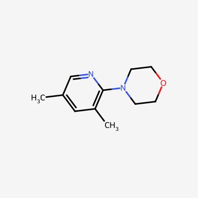 Cc1cnc(N2CCOCC2)c(C)c1